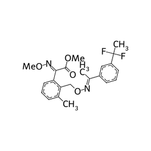 CO/N=C(/C(=O)OC)c1cccc(C)c1CO/N=C(\C)c1cccc(C(C)(F)F)c1